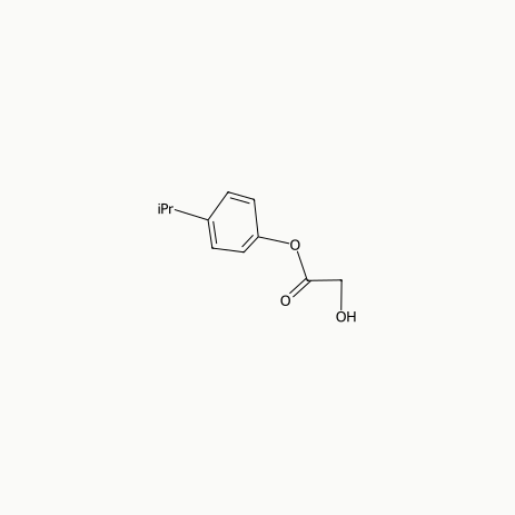 CC(C)c1ccc(OC(=O)CO)cc1